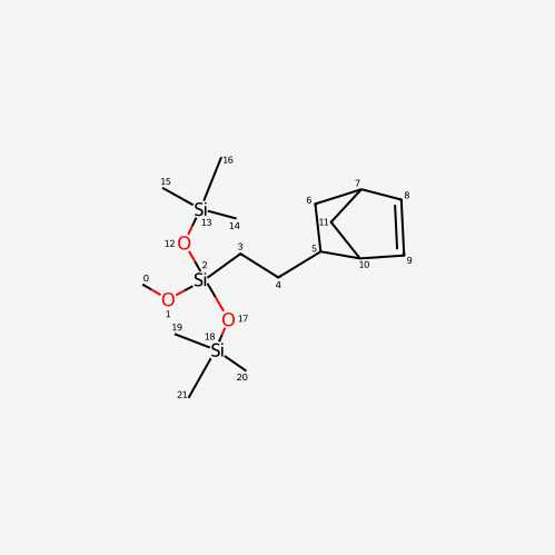 CO[Si](CCC1CC2C=CC1C2)(O[Si](C)(C)C)O[Si](C)(C)C